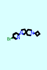 Brc1ccc(N2CCC3(CCN(C4CCC4)CC3)C2)nc1